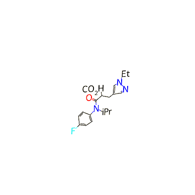 CCn1cc(CC(C(=O)O)C(=O)N(c2ccc(F)cc2)C(C)C)cn1